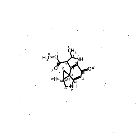 COC(=O)C1C2=C(NC1C)C(=O)C=C1NC[C@H]3C[C@]123